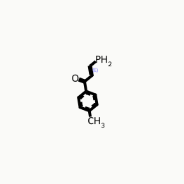 Cc1ccc(C(=O)/C=C/P)cc1